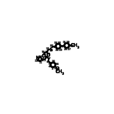 COc1ccc(CCC2(Cn3ccnc3)OCC(CSCc3ccc(-c4ccc(C)cc4)cc3)O2)cc1